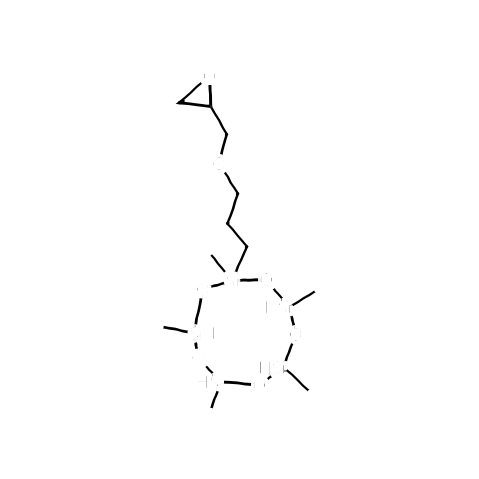 C[SiH]1O[SiH](C)O[SiH](C)O[Si](C)(CCCOCC2CO2)O[SiH](C)O1